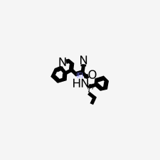 CCC[C@H](NC(=O)/C(C#N)=C/c1ccnc2ccccc12)c1ccccc1